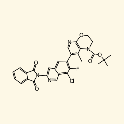 Cc1c(-c2cc3cc(N4C(=O)c5ccccc5C4=O)ncc3c(Cl)c2F)cnc2c1N(C(=O)OC(C)(C)C)CCO2